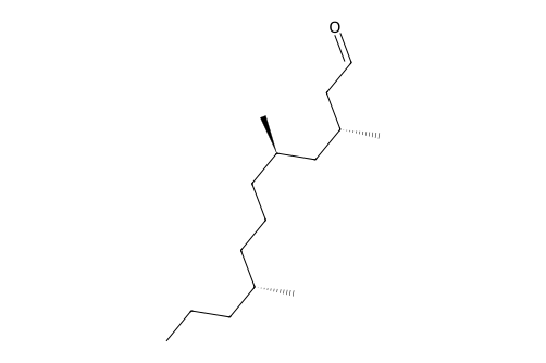 CCC[C@@H](C)CCC[C@@H](C)C[C@@H](C)CC=O